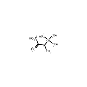 C=C(C(=O)O)C(C)[Si](CCCC)(CCCC)CCCC